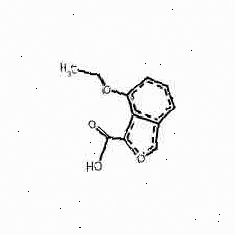 CCOc1cccc2coc(C(=O)O)c12